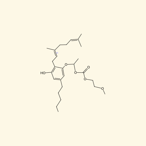 CCCCCc1cc(O)c(C/C=C(\C)CCC=C(C)C)c(OC(C)OC(=O)OCCOC)c1